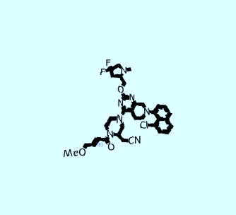 COC/C=C/C(=O)N1CCN(c2nc(OCC3CC(F)(F)CN3C)nc3c2CCN(c2cccc4cccc(Cl)c24)C3)CC1CC#N